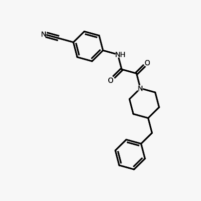 N#Cc1ccc(NC(=O)C(=O)N2CCC(Cc3ccccc3)CC2)cc1